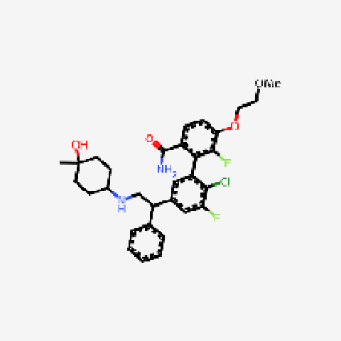 COCCOc1ccc(C(N)=O)c(-c2cc(C(CNC3CCC(C)(O)CC3)c3ccccc3)cc(F)c2Cl)c1F